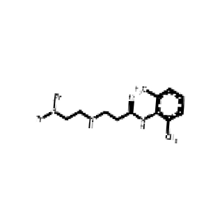 Cc1cccc(C)c1NC(=O)CCNCCN(C(C)C)C(C)C